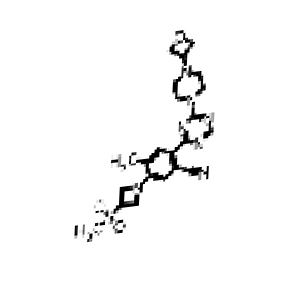 Cc1cc(-c2ncnc(N3CCN(C4COC4)CC3)n2)c(C#N)cc1N1CC(S(C)(=O)=O)C1